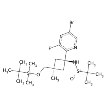 CC(C)(C)[S@+]([O-])N[C@]1(c2ncc(Br)cc2F)C[C@](C)(CO[Si](C)(C)C(C)(C)C)C1